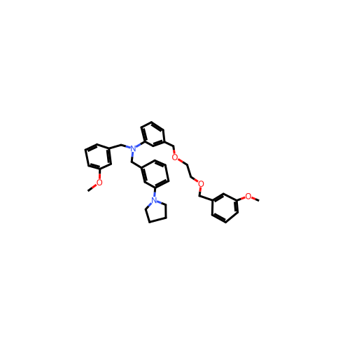 COc1cccc(COCCOCc2cccc(N(Cc3cccc(OC)c3)Cc3cccc(N4CCCC4)c3)c2)c1